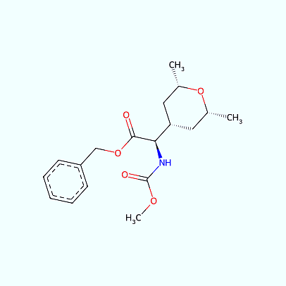 COC(=O)N[C@@H](C(=O)OCc1ccccc1)[C@H]1C[C@@H](C)O[C@@H](C)C1